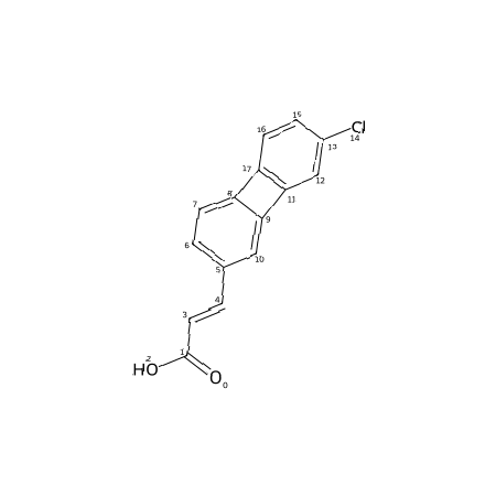 O=C(O)C=Cc1ccc2c(c1)-c1cc(Cl)ccc1-2